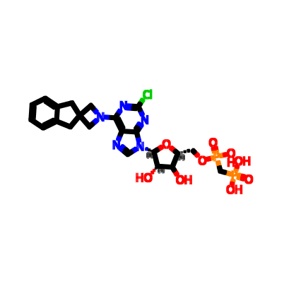 O=P(O)(O)CP(=O)(O)OC[C@H]1O[C@@H](n2cnc3c(N4CC5(Cc6ccccc6C5)C4)nc(Cl)nc32)[C@@H](O)C1O